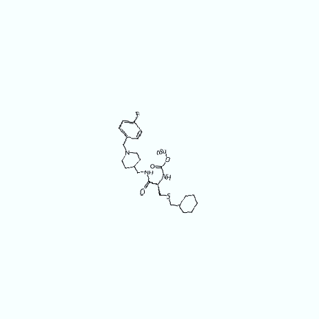 CC(C)(C)OC(=O)N[C@@H](CSCC1CCCCC1)C(=O)NCC1CCN(Cc2ccc(F)cc2)CC1